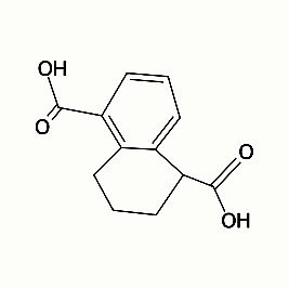 O=C(O)c1cccc2c1CCCC2C(=O)O